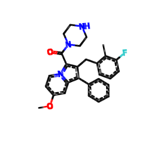 COc1ccn2c(C(=O)N3CCNCC3)c(Cc3cccc(F)c3C)c(-c3ccccc3)c2c1